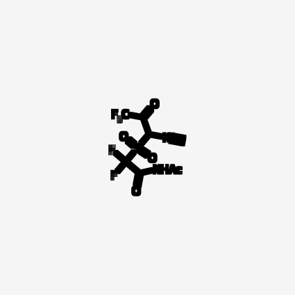 C#[N+]C(C(=O)C(F)(F)F)S(=O)(=O)C(F)(F)C(=O)NC(C)=O